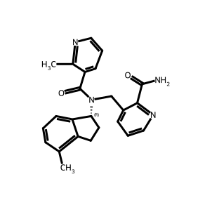 Cc1cccc2c1CC[C@H]2N(Cc1cccnc1C(N)=O)C(=O)c1cccnc1C